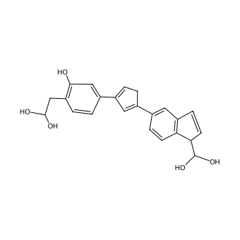 Oc1cc(C2=CCC(c3ccc4c(c3)C=CC4C(O)O)=C2)ccc1CC(O)O